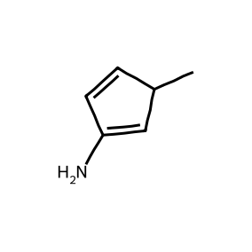 CC1C=CC(N)=C1